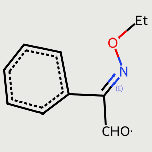 CCO/N=C(/[C]=O)c1ccccc1